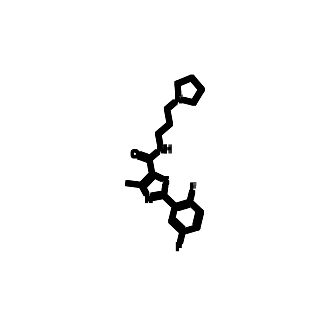 Cc1nc(-c2cc(F)ccc2F)sc1C(=O)NCCCN1CCCC1